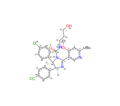 CCOc1cc(C(C)(C)C)ncc1C1=N[C@@](C)(c2ccc(Cl)cc2)[C@@](C)(c2ccc(Cl)cc2)N1C(=O)NCCCO